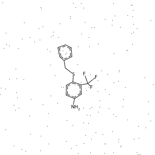 Nc1ccc(SCc2ccccc2)c(C(F)(F)F)c1